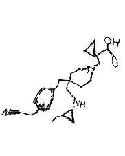 C[C@@H]1C[C@H]1NCC1(Cc2ccc(CC#N)cc2)CCN(CC2(C(=O)O)CC2)CC1